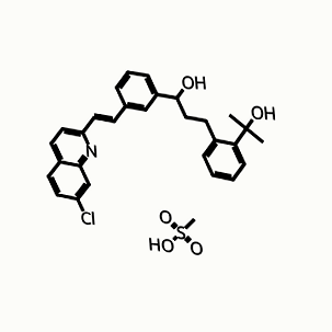 CC(C)(O)c1ccccc1CCC(O)c1cccc(C=Cc2ccc3ccc(Cl)cc3n2)c1.CS(=O)(=O)O